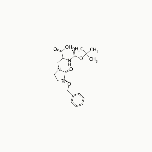 CC(C)(C)OC(=O)NC(CN1CC[C@H](OCc2ccccc2)C1=O)C(=O)O